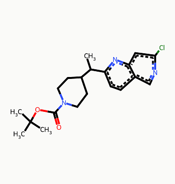 CC(c1ccc2cnc(Cl)cc2n1)C1CCN(C(=O)OC(C)(C)C)CC1